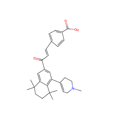 CN1CC=C(c2cc(C(=O)C=Cc3ccc(C(=O)O)cc3)cc3c2C(C)(C)CCC3(C)C)CC1